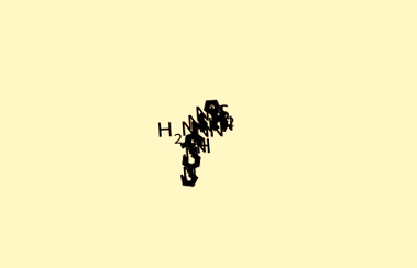 Cc1cc(C2(N)N=C(N)N(c3ncnc4sc5c(c34)CCC5)N2)cnc1N1CCC(N2CCCC2)CC1